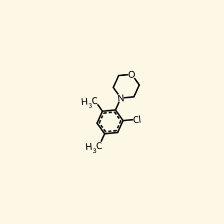 Cc1cc(C)c(N2CCOCC2)c(Cl)c1